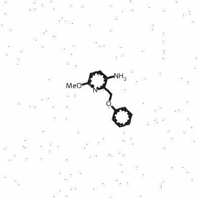 COc1ccc(N)c(COc2ccccc2)n1